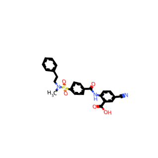 CN(CCc1ccccc1)S(=O)(=O)c1ccc(C(=O)Nc2ccc(C#N)cc2C(=O)O)cc1